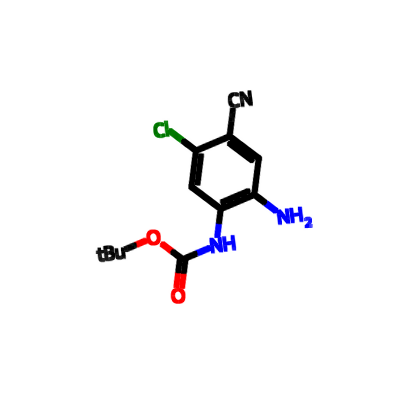 CC(C)(C)OC(=O)Nc1cc(Cl)c(C#N)cc1N